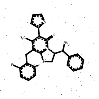 Cc1c(Cc2c(F)cccc2F)c2n(c(=O)c1-c1cccs1)C(C(N)c1ccccc1)CS2